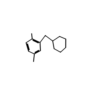 Cc1ccc(F)c(CC2CCCCC2)c1